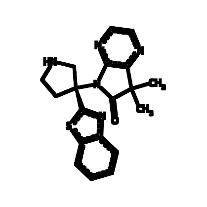 CC1(C)C(=O)N([C@]2(c3nc4ccccc4s3)CCNC2)c2nccnc21